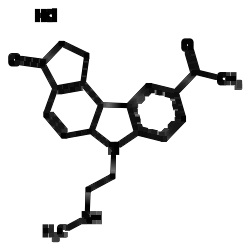 CNCCN1c2ccc(C(C)=O)cc2C2C3=C(C=CC21)C(=O)CC3.Cl